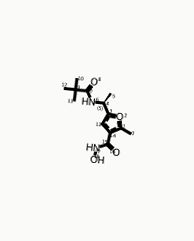 Cc1oc([C@H](C)NC(=O)C(C)(C)C)cc1C(=O)NO